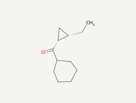 CC[C@H]1C[C@H]1C(=O)C1CCCCC1